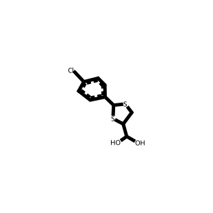 OC(O)C1CSC(c2ccc(Cl)cc2)S1